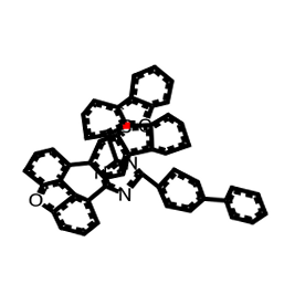 c1ccc(-c2ccc(-c3nc(-c4cccc5c4oc4ccccc45)nc(-c4cccc5oc6cccc(-c7ccc8c(c7)sc7ccccc78)c6c45)n3)cc2)cc1